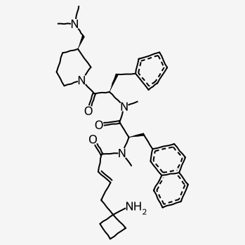 CN(C)C[C@@H]1CCCN(C(=O)[C@@H](Cc2ccccc2)N(C)C(=O)[C@@H](Cc2ccc3ccccc3c2)N(C)C(=O)/C=C/CC2(N)CCC2)C1